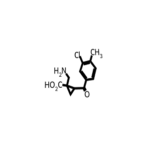 Cc1ccc(C(=O)C2CC2(CN)C(=O)O)cc1Cl